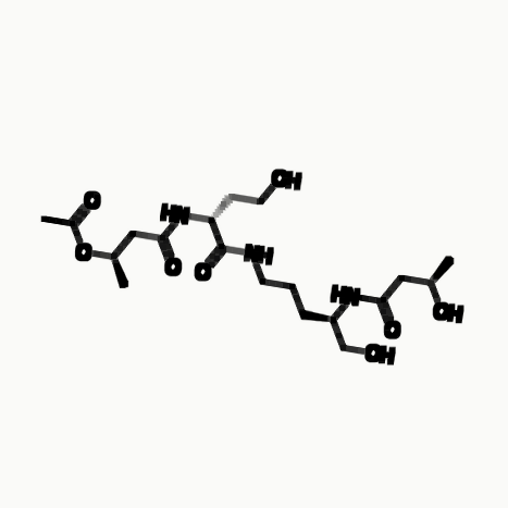 CC(=O)O[C@H](C)CC(=O)N[C@H](CCO)C(=O)NCCC[C@H](CO)NC(=O)C[C@@H](C)O